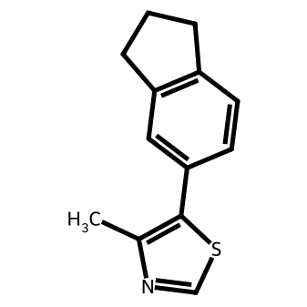 Cc1ncsc1-c1ccc2c(c1)CCC2